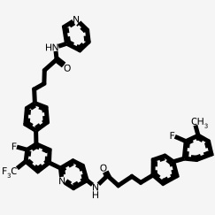 Cc1cccc(-c2ccc(CCCC(=O)Nc3ccc(-c4cc(-c5ccc(CCCC(=O)Nc6cccnc6)cc5)c(F)c(C(F)(F)F)c4)nc3)cc2)c1F